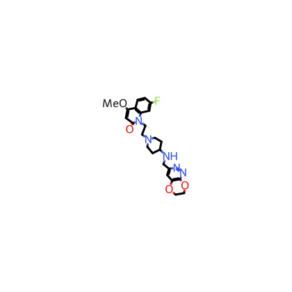 COc1cc(=O)n(CCN2CCC(NCc3cc4c(nn3)OCCO4)CC2)c2cc(F)ccc12